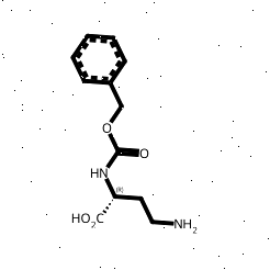 NCC[C@@H](NC(=O)OCc1ccccc1)C(=O)O